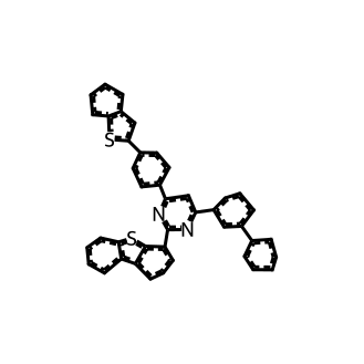 c1ccc(-c2cccc(-c3cc(-c4ccc(-c5cc6ccccc6s5)cc4)nc(-c4cccc5c4sc4ccccc45)n3)c2)cc1